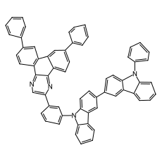 c1ccc(-c2ccc3c(c2)c2cc(-c4ccccc4)ccc2c2nc(-c4cccc(-n5c6ccccc6c6cc(-c7ccc8c(c7)c7ccccc7n8-c7ccccc7)ccc65)c4)cnc32)cc1